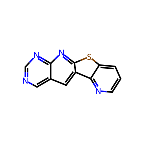 c1cnc2c(c1)sc1nc3ncncc3cc12